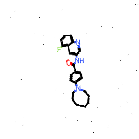 O=C(Nc1cnc2cccc(F)c2c1)c1ccc(N2CCCCCCC2)cc1